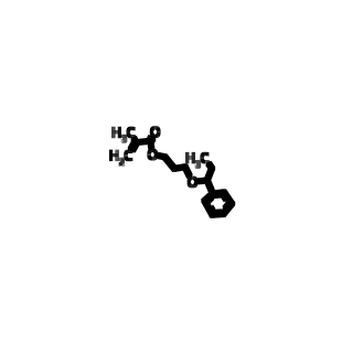 C=C(C)C(=O)OCCCOC(CC)c1ccccc1